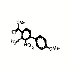 COC(=O)c1ccc(-c2ccc(OC)cc2)c([N+](=O)[O-])c1N